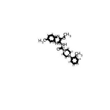 COc1nc2ccc(C)cc2nc1NC(=O)N1CCN(c2ccccc2C)CC1